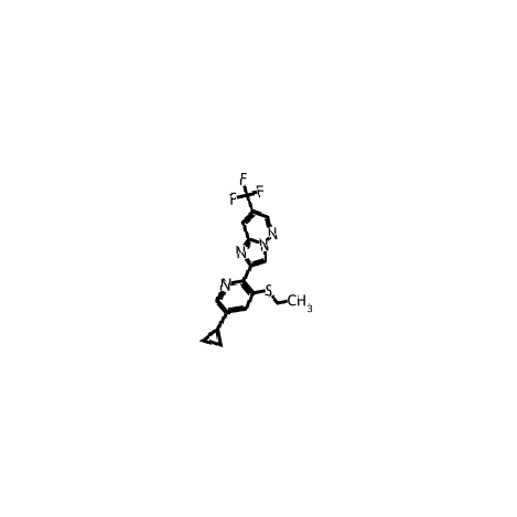 CCSc1cc(C2CC2)cnc1-c1cn2ncc(C(F)(F)F)cc2n1